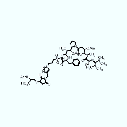 CC[C@H](C)C([C@@H](CC(=O)N1CCC[C@H]1[C@H](OC)[C@@H](C)C(=O)N[C@@H](Cc1ccccc1)C(=O)NS(=O)(=O)CCCn1cc(CN2C(=O)CC(SC[C@H](NC(C)=O)C(=O)O)C2=O)nn1)OC)N(C)C(=O)[C@@H](N=C(N(C)C)N(C)C)C(C)C